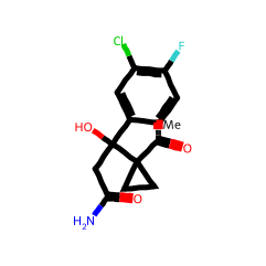 COC(=O)C1(C(O)(CC(N)=O)c2ccc(F)c(Cl)c2)CC1